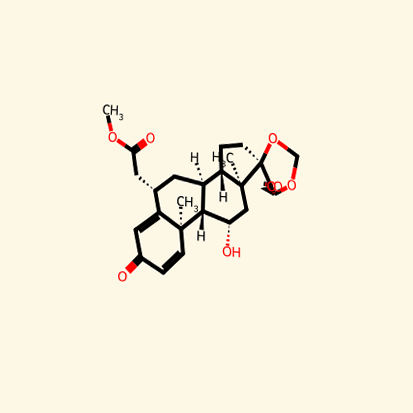 COC(=O)C[C@@H]1C[C@@H]2[C@H]([C@@H](O)C[C@@]3(C)[C@H]2CC[C@@]32OCOC23COCO3)[C@@]2(C)C=CC(=O)C=C12